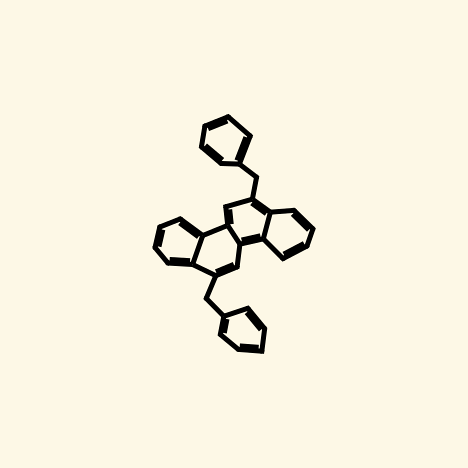 c1ccc(Cc2cc3c4ccccc4c(Cc4ccccc4)cc3c3ccccc23)cc1